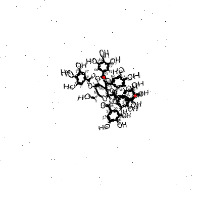 O=C(O[C@@H]1[C@@H](CO)OC(OC(=O)c2cc(O)c(O)c(O)c2)(C(=O)c2cc(O)c(O)c(O)c2)[C@@](OC(=O)c2cc(O)c(O)c(O)c2)(C(=O)c2cc(O)c(O)c(O)c2)[C@H]1OC(=O)c1cc(O)c(O)c(O)c1)c1cc(O)c(O)c(O)c1